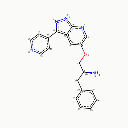 N[C@H](COc1cnc2[nH]nc(-c3ccncc3)c2c1)Cc1ccccc1